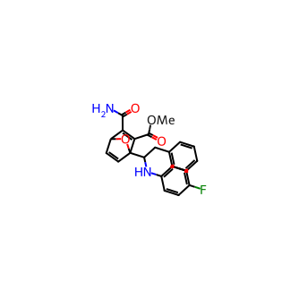 COC(=O)C1=C(C(N)=O)C2C=CC1(C(Cc1ccccc1)Nc1ccc(F)cc1)O2